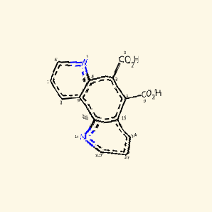 O=C(O)c1c(C(=O)O)c2ncccc2c2ncccc12